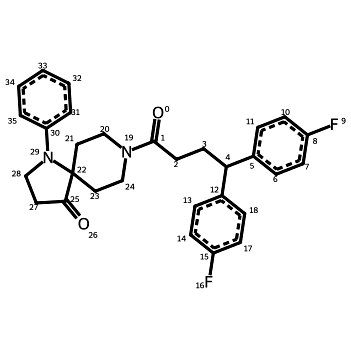 O=C(CCC(c1ccc(F)cc1)c1ccc(F)cc1)N1CCC2(CC1)C(=O)CCN2c1ccccc1